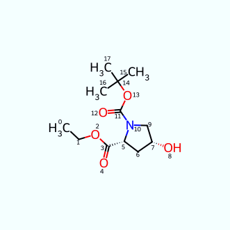 CCOC(=O)[C@H]1C[C@@H](O)CN1C(=O)OC(C)(C)C